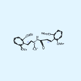 COc1cccc(OC)c1/C=C/C(=O)N[S+]([O-])/C=C/c1c(OC)cccc1OC